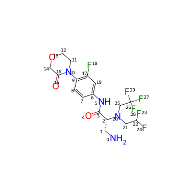 NC[C@H](C(=O)Nc1ccc(N2CCOCC2=O)c(F)c1)N(CC(F)F)CC(F)(F)F